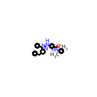 Cc1cccc(C)c1NC(=O)c1ccc(Nc2nc3c(c(-c4ccccc4)n2)CC(Cc2ccccc2)CC3)cc1